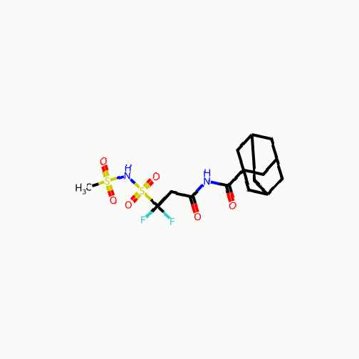 CS(=O)(=O)NS(=O)(=O)C(F)(F)CC(=O)NC(=O)C12CC3CC(CC(C3)C1)C2